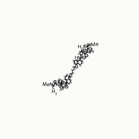 CN[C@@H](C)C(=O)N[C@H](C(=O)N1CCC[C@H]1C(=O)N[C@@H]1CCCc2c(OCCCCCOc3cccc4c3CCC[C@H]4NC(=O)[C@@H]3CCCN3C(=O)[C@@H](NC(=O)[C@H](C)NC)C(C)C)cccc21)C(C)C